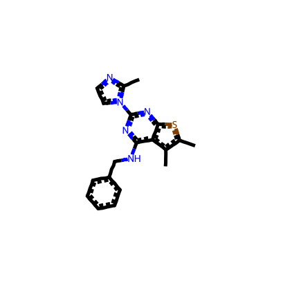 Cc1sc2nc(-n3ccnc3C)nc(NCc3ccccc3)c2c1C